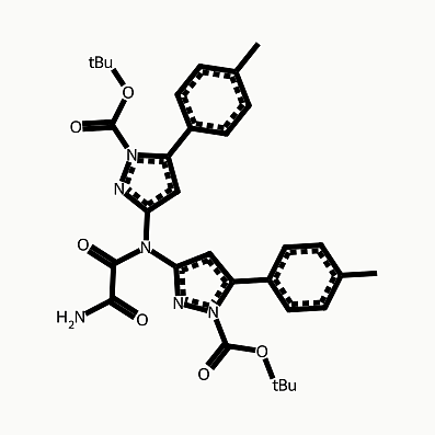 Cc1ccc(-c2cc(N(C(=O)C(N)=O)c3cc(-c4ccc(C)cc4)n(C(=O)OC(C)(C)C)n3)nn2C(=O)OC(C)(C)C)cc1